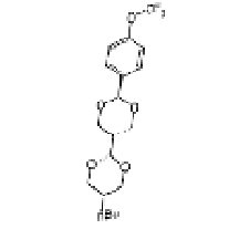 CCCC[C@H]1CO[C@H]([C@H]2CO[C@H](c3ccc(OC(F)(F)F)cc3)OC2)OC1